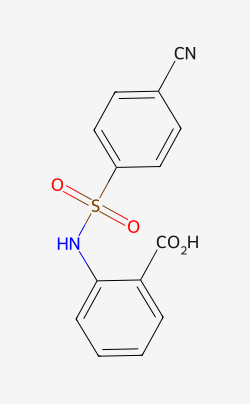 N#Cc1ccc(S(=O)(=O)Nc2ccccc2C(=O)O)cc1